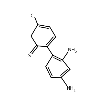 Nc1ccc(C2=CC=C(Cl)CC2=S)c(N)c1